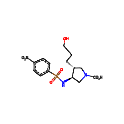 O=C(O)N1C[C@@H](CCCO)[C@H](NS(=O)(=O)c2ccc([N+](=O)[O-])cc2)C1